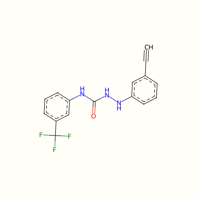 C#Cc1cccc(NNC(=O)Nc2cccc(C(F)(F)F)c2)c1